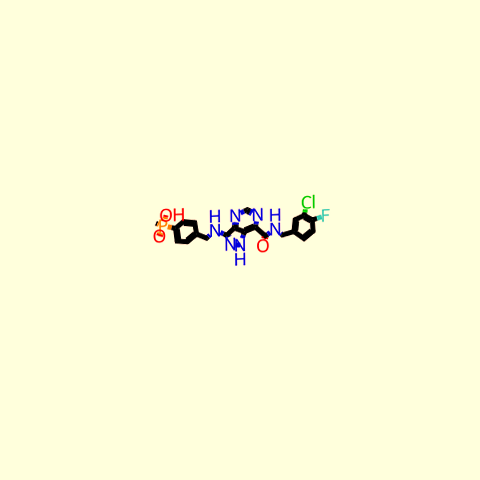 CP(=O)(O)c1ccc(CNc2n[nH]c3c(C(=O)NCc4ccc(F)c(Cl)c4)ncnc23)cc1